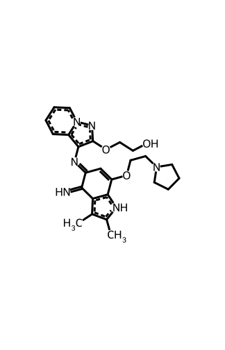 Cc1[nH]c2c(c1C)C(=N)C(=Nc1c(OCCO)nn3ccccc13)C=C2OCCN1CCCC1